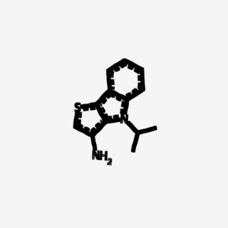 CC(C)n1c2ccccc2c2scc(N)c21